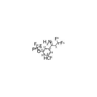 Cl.NC(CC(F)F)c1cccc(OC(F)(F)F)c1